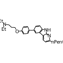 CCCCCc1ccc2c(n1)[nH]c1ccc(-c3ccc(OCCCN(CC)CC)cc3)cc12